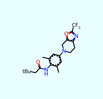 Cc1cc(N2CCc3nc(C(F)(F)F)oc3C2)cc(C)c1NC(=O)CC(C)(C)C